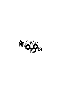 COc1cc(-c2nccc3c(Br)cccc23)ccc1-n1cnc(C)c1